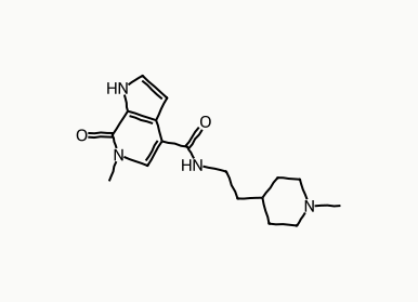 CN1CCC(CCNC(=O)c2cn(C)c(=O)c3[nH]ccc23)CC1